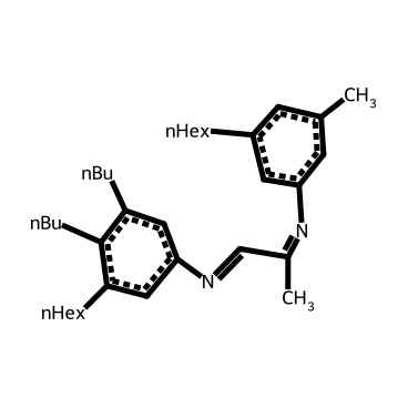 CCCCCCc1cc(C)cc(N=C(C)C=Nc2cc(CCCC)c(CCCC)c(CCCCCC)c2)c1